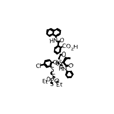 CC1=C(C(=O)Nc2ccccc2)S(=O)(=O)CCO1.CCOP(=S)(OCC)SCSc1cc(Cl)ccc1Cl.O=C(O)c1ccccc1C(=O)Nc1cccc2ccccc12